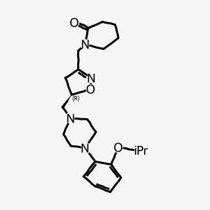 CC(C)Oc1ccccc1N1CCN(C[C@H]2CC(CN3CCCCC3=O)=NO2)CC1